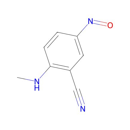 CNc1ccc(N=O)cc1C#N